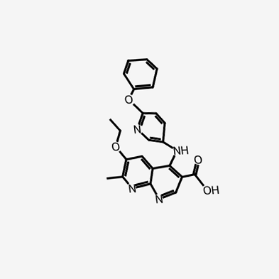 CCOc1cc2c(Nc3ccc(Oc4ccccc4)nc3)c(C(=O)O)cnc2nc1C